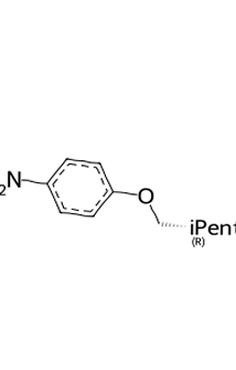 CCC[C@@H](C)COc1ccc([N+](=O)[O-])cc1